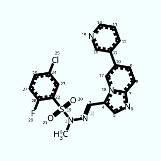 CN(/N=C/c1cnc2ccc(-c3cccnc3)cn12)S(=O)(=O)c1cc(Cl)ccc1F